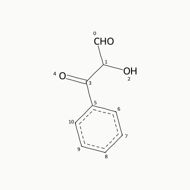 O=CC(O)C(=O)c1ccccc1